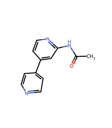 CC(=O)Nc1cc(-c2ccncc2)ccn1